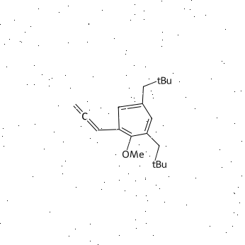 C=C=Cc1cc(CC(C)(C)C)cc(CC(C)(C)C)c1OC